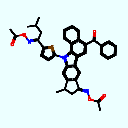 CC(=O)O/N=C(\CC(C)C)c1ccc(-n2c3cc4c(cc3c3cc(C(=O)c5ccccc5)c5ccccc5c32)/C(=N/OC(C)=O)CC4C)s1